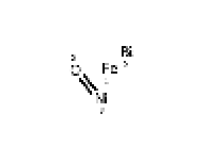 [Bi].[Fe].[O]=[Ni]